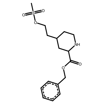 CS(=O)(=O)OCCC1CCNC(C(=O)OCc2ccccc2)C1